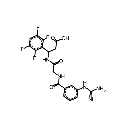 N=C(N)Nc1cccc(C(=O)NCC(=O)NC(CC(=O)O)c2c(F)c(F)cc(F)c2F)c1